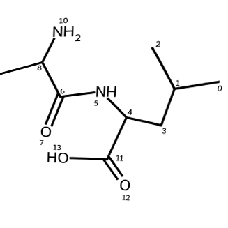 CC(C)CC(NC(=O)C(C)N)C(=O)O